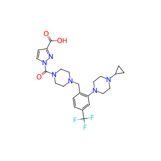 O=C(O)c1ccn(C(=O)N2CCN(Cc3ccc(C(F)(F)F)cc3N3CCN(C4CC4)CC3)CC2)n1